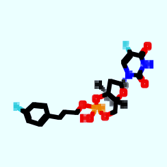 O=c1[nH]c(=O)n([C@H]2C[C@@H]3O[PH](O)(OCCCc4ccc(F)cc4)OC[C@H]3O2)cc1F